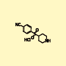 Cl.N#Cc1ccc(S(=O)(=O)C2CCNCC2)cc1